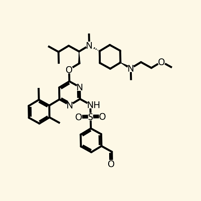 COCCN(C)[C@H]1CC[C@H](N(C)[C@@H](COc2cc(-c3c(C)cccc3C)nc(NS(=O)(=O)c3cccc(C=O)c3)n2)CC(C)C)CC1